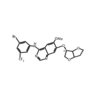 COc1cc2c(Nc3cc(Br)cc(C(F)(F)F)c3)ncnc2cc1O[C@@H]1COC2CCOC21